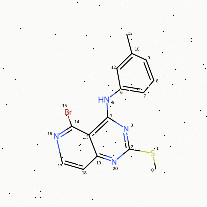 CSc1nc(Nc2cccc(C)c2)c2c(Br)nccc2n1